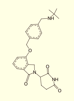 CC(C)(C)NCc1ccc(COc2cccc3c2CN(C2CCC(=O)NC2=O)C3=O)cc1